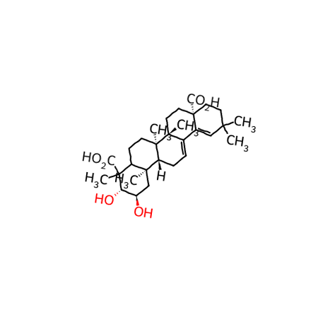 CC1(C)C=C2C3=CC[C@@H]4[C@@]5(C)C[C@@H](O)[C@H](O)C(C)(C(=O)O)C5CC[C@@]4(C)[C@]3(C)CC[C@@]2(C(=O)O)CC1